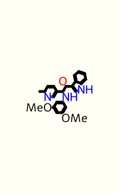 COc1cc(NC(C(=O)c2c[nH]c3ccccc23)c2ccc(C)nc2)cc(OC)c1